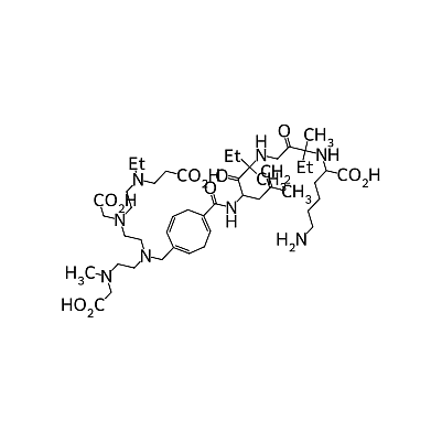 C=C(C)CC(NC(=O)/C1=C/CC=C(CN(CCN(C)CC(=O)O)CCN(CCN(CC)CCC(=O)O)CC(=O)O)/C=C\C1)C(=O)C(C)(CC)NCC(=O)C(C)(CC)NC(CCCCN)C(=O)O